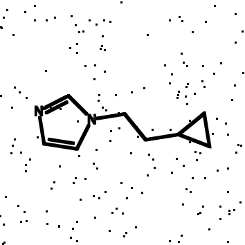 c1cn(CCC2CC2)cn1